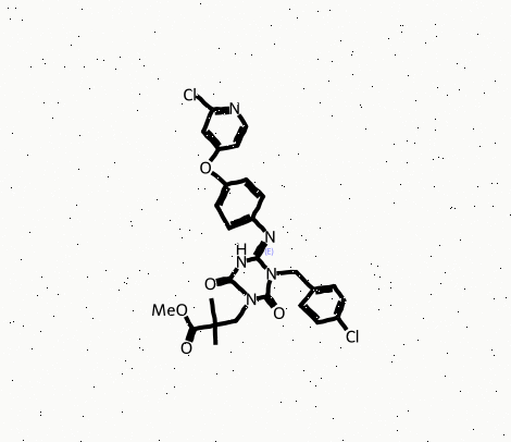 COC(=O)C(C)(C)Cn1c(=O)[nH]/c(=N\c2ccc(Oc3ccnc(Cl)c3)cc2)n(Cc2ccc(Cl)cc2)c1=O